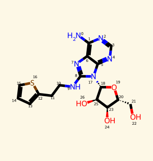 Nc1ncnc2c1nc(NCCc1cccs1)n2[C@@H]1O[C@H](CO)[C@@H](O)[C@H]1O